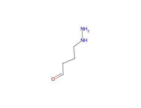 NNCCCC=O